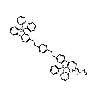 C=C/C=C\C1=C(C)[Si](c2ccccc2)(c2ccccc2)c2cc(CCc3ccc(CCc4ccc5c(c4)[Si](c4ccccc4)(c4ccccc4)c4ccccc4-5)cc3)ccc21